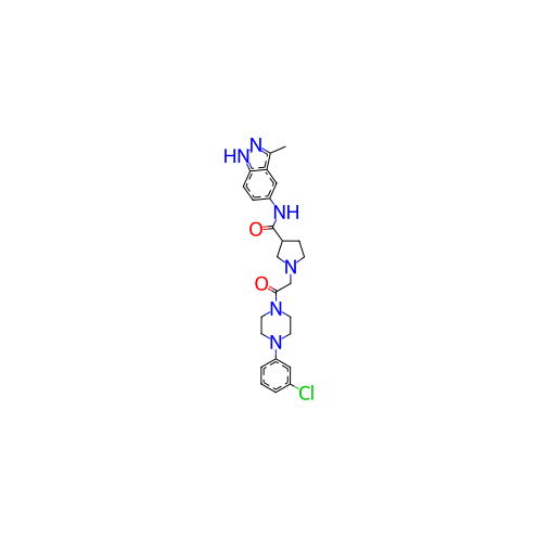 Cc1n[nH]c2ccc(NC(=O)C3CCN(CC(=O)N4CCN(c5cccc(Cl)c5)CC4)C3)cc12